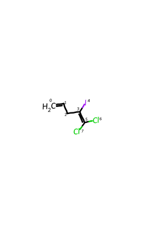 C=CCC(I)=C(Cl)Cl